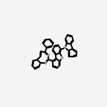 C1=CC2/C=C/C(c3ccccc3)=N\C(c3cccc4oc5c(-n6c7ccccc7c7ccccc76)cccc5c34)=N/C2C=C1